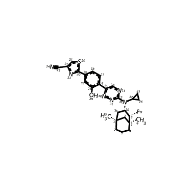 C[C@@]12CCC[C@@](C)(C1)[C@@H](F)[C@@H](N(c1ncc(-c3ccc(-c4nc(C#N)cs4)cc3O)nn1)C1CC1)C2